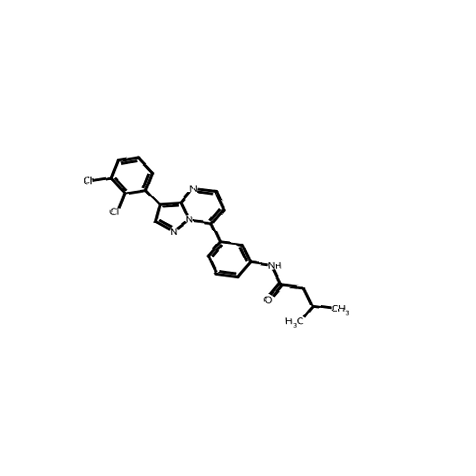 CC(C)CC(=O)Nc1cccc(-c2ccnc3c(-c4cccc(Cl)c4Cl)cnn23)c1